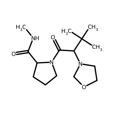 CNC(=O)C1CCCN1C(=O)C(N1CCOC1)C(C)(C)C